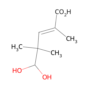 C/C(=C\C(C)(C)C(O)O)C(=O)O